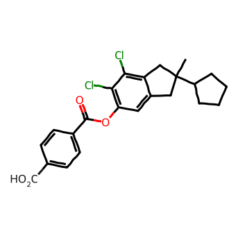 CC1(C2CCCC2)Cc2cc(OC(=O)c3ccc(C(=O)O)cc3)c(Cl)c(Cl)c2C1